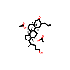 C=CCC1C[C@@]2(C)[C@@H](CC1=O)C[C@@H](OC(C)=O)[C@@H]1[C@@H]2C[C@H](OC(C)=O)[C@]2(C)[C@@H]([C@H](C)CCCO)CC[C@@H]12